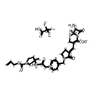 C=CCOC(=O)N1CCC(C)(NC(=O)C[n+]2ccc(CN3CCC(=CC4=C(C(=O)[O-])N5C(=O)[C@@H](N)[C@H]5SC4)C3=O)cc2)C1.O=C(O)C(F)(F)F